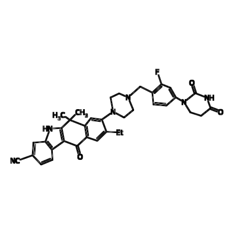 CCc1cc2c(cc1N1CCN(Cc3ccc(N4CCC(=O)NC4=O)cc3F)CC1)C(C)(C)c1[nH]c3cc(C#N)ccc3c1C2=O